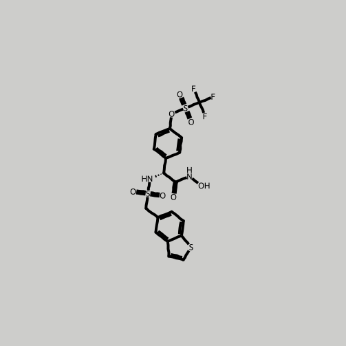 O=C(NO)[C@H](NS(=O)(=O)Cc1ccc2sccc2c1)c1ccc(OS(=O)(=O)C(F)(F)F)cc1